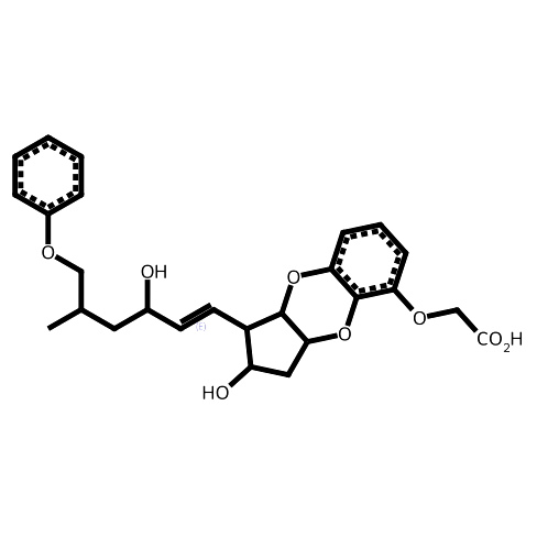 CC(COc1ccccc1)CC(O)/C=C/C1C(O)CC2Oc3c(OCC(=O)O)cccc3OC21